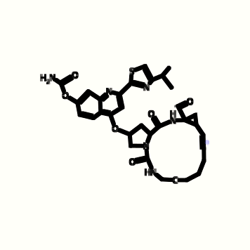 CC(C)c1csc(-c2cc(OC3CC4C(=O)NC5([C]=O)CC5/C=C/CCCCCNC(=O)N4C3)c3ccc(OC(N)=O)cc3n2)n1